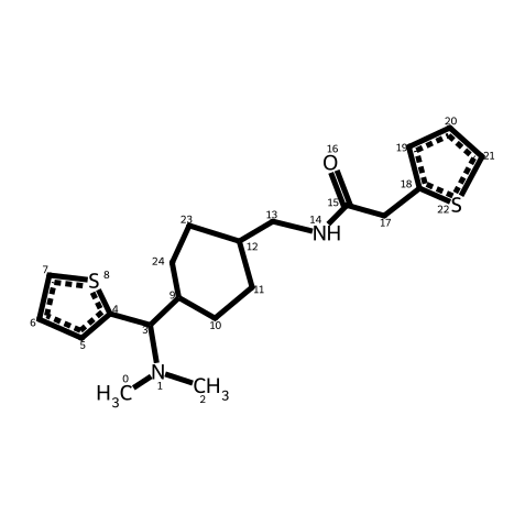 CN(C)C(c1cccs1)C1CCC(CNC(=O)Cc2cccs2)CC1